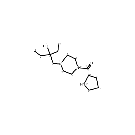 CCC(O)(CC)CN1CCN(C(=O)[C@@H]2CCCN2)CC1